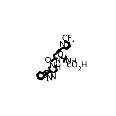 CN1N=C2CCN(C(=O)C(CC#Cc3cccc(C(F)(F)F)n3)NC(=O)C(C)(C)NC(=O)O)C[C@@]2(Cc2ccccc2)C1=O